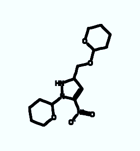 O=[N+]([O-])C1=CC(COC2CCCCO2)NN1C1CCCCO1